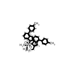 CCC1=Cc2c(-c3ccc(C)cc3)cccc2[CH]1[Zr]([Cl])([Cl])([CH]1C(CC)=Cc2c(-c3ccc(C)cc3)cccc21)[SiH](C)C